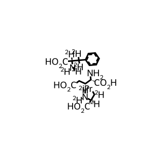 N[C@@H](CCC(=O)O)C(=O)O.[2H]C(C(C)C)[C@@]([2H])(C(=O)O)N([2H])[2H].[2H]N([2H])[C@]([2H])(C(=O)O)C([2H])([2H])c1ccccc1